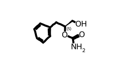 NC(=O)O[C@H](CO)Cc1ccccc1